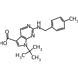 Cc1ccc(CNc2ncc3c(C(=O)O)cn(C(C)(C)C)c3n2)cc1